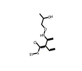 C=C/C(C(=C)NOCC(C)O)=C(/Cl)SCC